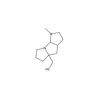 CN1CCC2CC3(CS)CCCN3C21